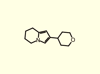 c1c(C2CCOCC2)cn2c1CCCC2